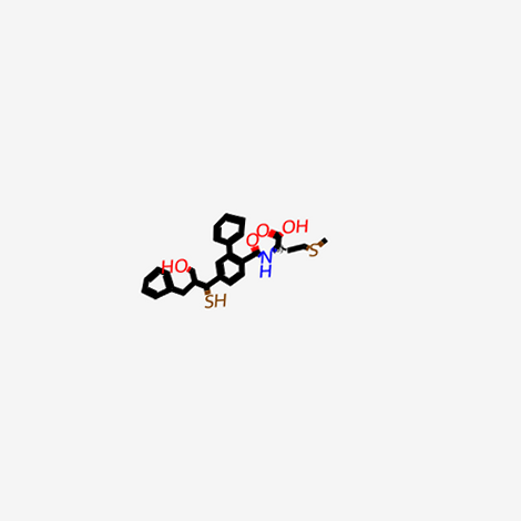 CSCC[C@H](NC(=O)c1ccc(C(S)C(CO)Cc2ccccc2)cc1-c1ccccc1)C(=O)O